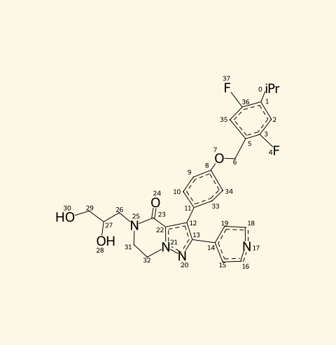 CC(C)c1cc(F)c(COc2ccc(-c3c(-c4ccncc4)nn4c3C(=O)N(CC(O)CO)CC4)cc2)cc1F